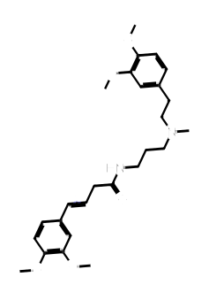 COc1ccc(/C=C/CC(=O)NCCCN(C)CCc2ccc(OC)c(OC)c2)cc1OC